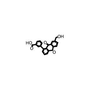 O=C(O)c1cccc(-c2cccc3c2C(=O)c2cc(CO)ccc2C3=O)c1